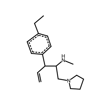 C=CC(c1ccc(CC)cc1)C(CN1CCCC1)NC